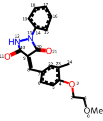 COCCOc1ccc(/C=C2/C(=O)NN(c3ccccc3)C2=O)cc1C